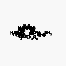 C=CC[C@H]1NC[C@H](C)C[C@@](C)(OC)[C@H](O[C@@H]2OC(C)CC(N(C)C)C2O)[C@@H](C)C(=O)[C@@H](C)C(=O)O[C@H](CC)[C@@]2(C)OC(=O)N(CCCCn3cc(-c4cccc(N)c4)nn3)[C@H]12